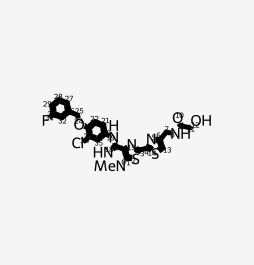 CNc1sc(-c2nc(CNC(=O)CO)cs2)nc1C(=N)Nc1ccc(OCc2cccc(F)c2)c(Cl)c1